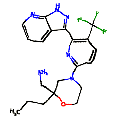 CCCC1(CN)CN(c2ccc(C(F)(F)F)c(-c3n[nH]c4ncccc34)n2)CCO1